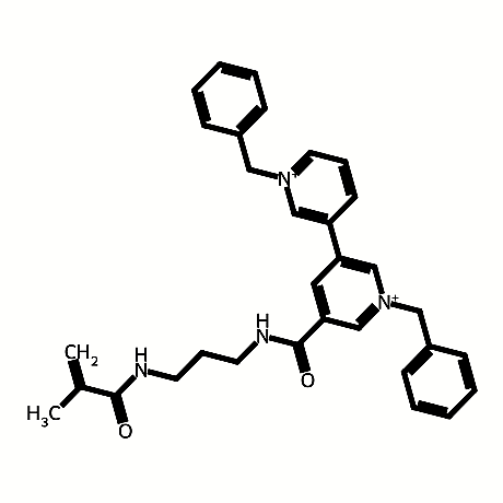 C=C(C)C(=O)NCCCNC(=O)c1cc(-c2ccc[n+](Cc3ccccc3)c2)c[n+](Cc2ccccc2)c1